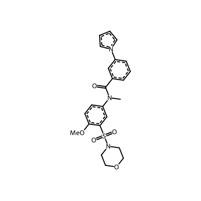 COc1ccc(N(C)C(=O)c2cccc(-n3cccc3)c2)cc1S(=O)(=O)N1CCOCC1